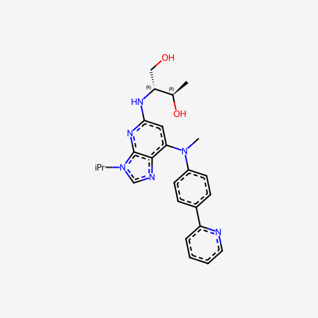 CC(C)n1cnc2c(N(C)c3ccc(-c4ccccn4)cc3)cc(N[C@H](CO)[C@@H](C)O)nc21